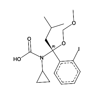 COCO[C@](CC(C)C)(c1ccccc1I)N(C(=O)O)C1CC1